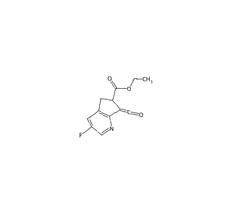 CCOC(=O)C1Cc2cc(F)cnc2C1=C=O